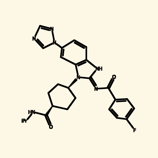 CC(C)NC(=O)[C@H]1CC[C@@H](n2/c(=N/C(=O)c3ccc(F)cc3)[nH]c3ccc(-n4cncn4)cc32)CC1